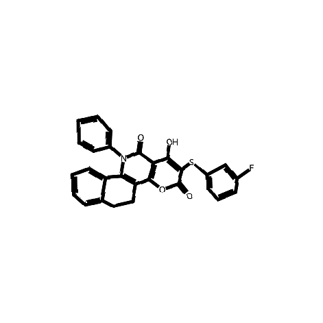 O=c1oc2c3c(n(-c4ccccc4)c(=O)c2c(O)c1Sc1cccc(F)c1)-c1ccccc1CC3